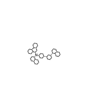 c1cc(-c2ccc(N(c3cccc4ccccc34)c3cc4ccccc4c4ccccc34)cc2)cc(-c2cccc3ccccc23)c1